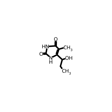 CCC(O)c1[nH]c(=O)[nH]c(=O)c1C